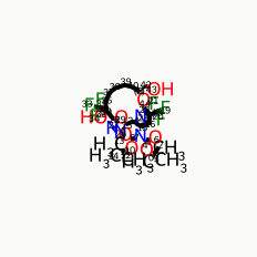 CC(C)(C)OC(=O)N(C(=O)OC(C)(C)C)c1cc(C(F)(F)F)c2nc1-c1nnc(o1)[C@@](O)(C(F)(F)F)CCCCC[C@@H](CO)O2